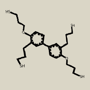 SCCCOc1ccc(-c2ccc(OCCCS)c(CCCS)c2)cc1CCCS